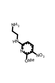 COc1nc(NCCN)ccc1[N+](=O)[O-]